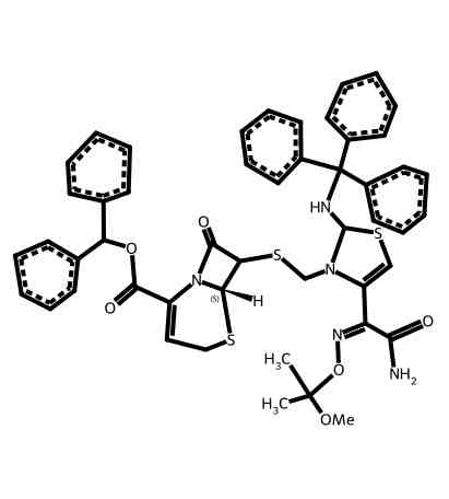 COC(C)(C)ON=C(C(N)=O)C1=CSC(NC(c2ccccc2)(c2ccccc2)c2ccccc2)N1CSC1C(=O)N2C(C(=O)OC(c3ccccc3)c3ccccc3)=CCS[C@@H]12